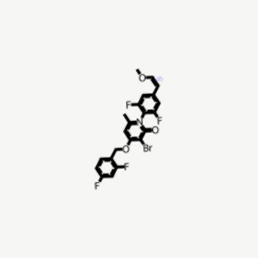 CO/C=C\c1cc(F)c(-n2c(C)cc(OCc3ccc(F)cc3F)c(Br)c2=O)c(F)c1